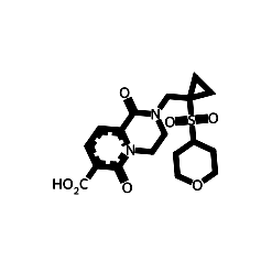 O=C(O)c1ccc2n(c1=O)CCN(CC1(S(=O)(=O)C3CCOCC3)CC1)C2=O